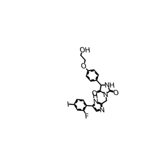 O=C1NC(c2ccc(OCCO)cc2)C(=O)N1Cc1ncc(-c2ccc(I)cc2F)[nH]1